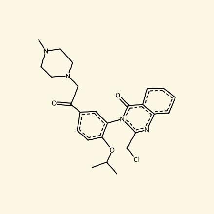 CC(C)Oc1ccc(C(=O)CN2CCN(C)CC2)cc1-n1c(CCl)nc2ccccc2c1=O